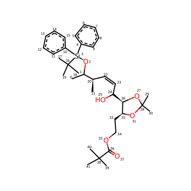 CC(O[Si](c1ccccc1)(c1ccccc1)C(C)(C)C)[C@H](C)/C=C\C(O)[C@H]1OC(C)(C)O[C@H]1CCOC(=O)C(C)(C)C